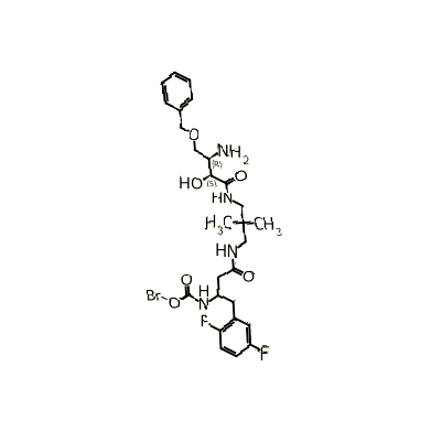 CC(C)(CNC(=O)CC(Cc1cc(F)ccc1F)NC(=O)OBr)CNC(=O)[C@@H](O)[C@H](N)COCc1ccccc1